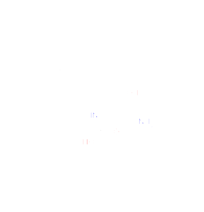 CCCCC(NC(=O)O)[C@H](O)CN